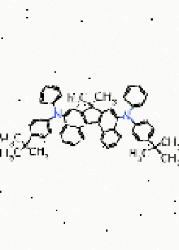 CC(C)(C)c1ccc(N(c2ccccc2)c2cc3c(c4ccccc24)-c2c(cc(N(c4ccccc4)c4ccc(C(C)(C)C)cc4)c4ccccc24)C3(C)C)cc1